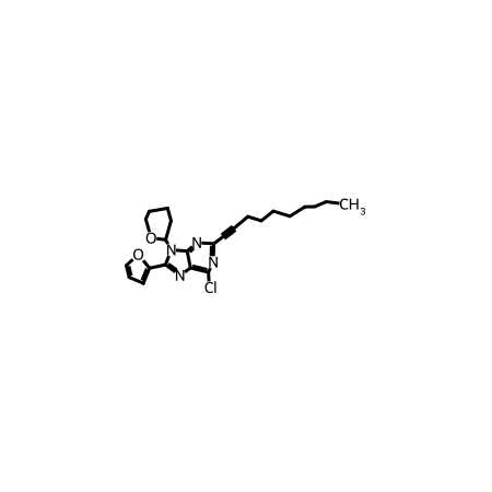 CCCCCCCCC#Cc1nc(Cl)c2nc(-c3ccco3)n(C3CCCCO3)c2n1